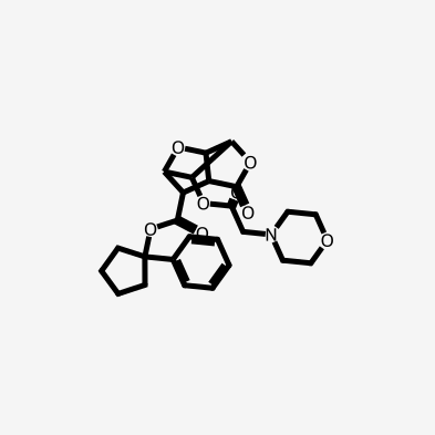 O=C(CN1CCOCC1)OC1C2OC(=O)C3C2OC1C3C(=O)OC1(c2ccccc2)CCCC1